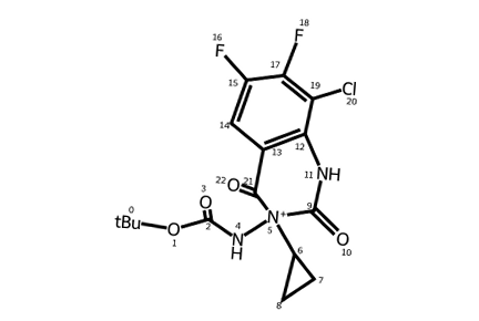 CC(C)(C)OC(=O)N[N+]1(C2CC2)C(=O)Nc2c(cc(F)c(F)c2Cl)C1=O